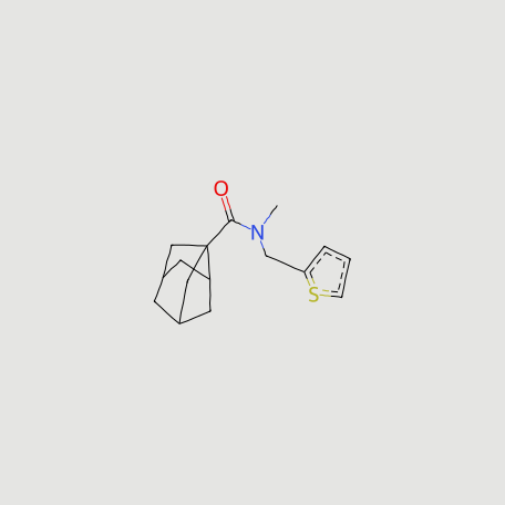 CN(Cc1cccs1)C(=O)C12CC3CC(CC1C3)C2